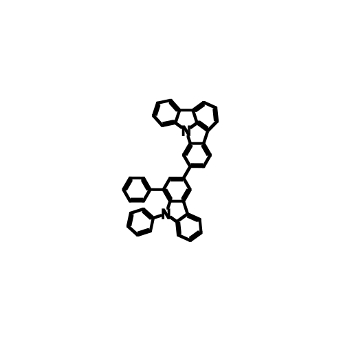 c1ccc(-c2cc(-c3ccc4c5cccc6c7ccccc7n(c4c3)c65)cc3c4ccccc4n(-c4ccccc4)c23)cc1